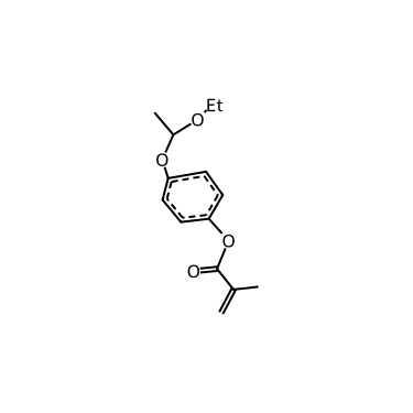 C=C(C)C(=O)Oc1ccc(OC(C)OCC)cc1